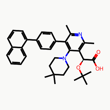 Cc1nc(C)c([C@H](OC(C)(C)C)C(=O)O)c(N2CCC(C)(C)CC2)c1-c1ccc(-c2cccc3ccccc23)cc1